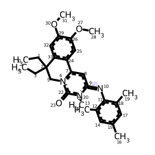 CCC1(CC)Cn2c(c/c(=N/c3c(C)cc(C)cc3C)n(C)c2=O)-c2cc(OC)c(OC)cc21